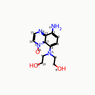 Nc1ccc(N(CCO)CCO)c2c1ncc[n+]2[O-]